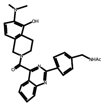 CC(=O)NCc1ccc(-c2nc(C(=O)N3CCc4c(ccc(N(C)C)c4O)C3)c3ccccc3n2)cc1